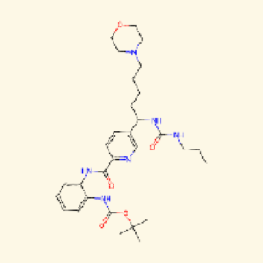 CCCNC(=O)NC(CCCCN1CCOCC1)c1ccc(C(=O)Nc2ccccc2NC(=O)OC(C)(C)C)nc1